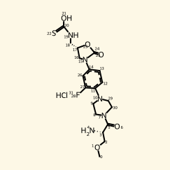 COC[C@H](N)C(=O)N1CCN(c2ccc(N3C[C@H](CNC(O)=S)OC3=O)cc2F)CC1.Cl